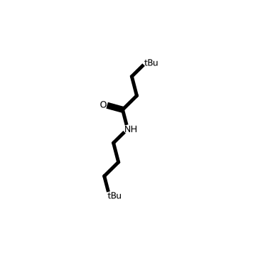 CC(C)(C)CCCNC(=O)CCC(C)(C)C